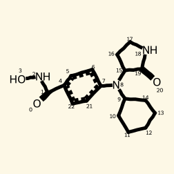 O=C(NO)c1ccc(N(C2CCCCC2)C2CCNC2=O)cc1